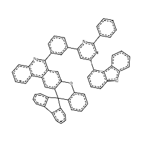 c1ccc(-c2nc(-c3cccc(-c4nc5ccccc5c5cc6c(cc45)Oc4ccccc4C64c5ccccc5-c5ccccc54)c3)cc(-c3cccc4oc5ccccc5c34)n2)cc1